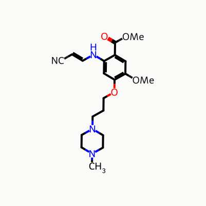 COC(=O)c1cc(OC)c(OCCCN2CCN(C)CC2)cc1N/C=C/C#N